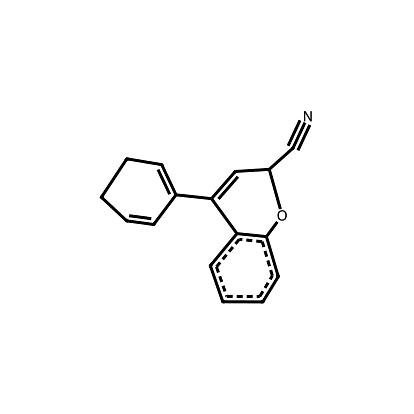 N#CC1C=C(C2=CCCC=C2)c2ccccc2O1